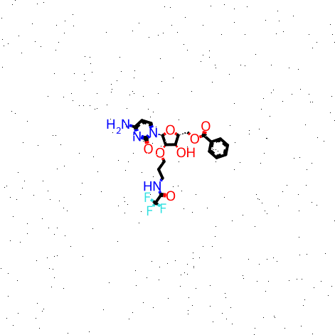 Nc1ccn([C@@H]2O[C@H](COC(=O)c3ccccc3)[C@@H](O)[C@H]2OCCCNC(=O)C(F)(F)F)c(=O)n1